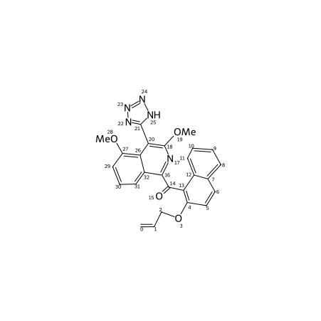 C=CCOc1ccc2ccccc2c1C(=O)c1nc(OC)c(-c2nnn[nH]2)c2c(OC)cccc12